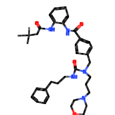 CC(C)(C)CC(=O)Nc1ccccc1NC(=O)c1ccc(CN(CCCN2CCOCC2)C(=O)NCCCc2ccccc2)cc1